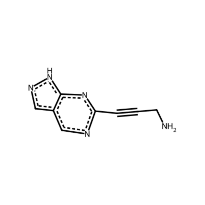 NCC#Cc1ncc2cn[nH]c2n1